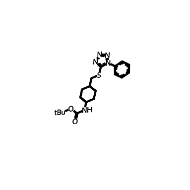 CC(C)(C)OC(=O)NC1CCC(CSc2nnnn2-c2ccccc2)CC1